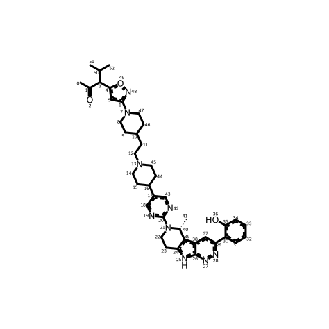 CC(=O)C(c1cc(N2CCC(CCN3CCC(c4cnc(N5CCc6[nH]c7nnc(-c8ccccc8O)cc7c6[C@H]5C)nc4)CC3)CC2)no1)C(C)C